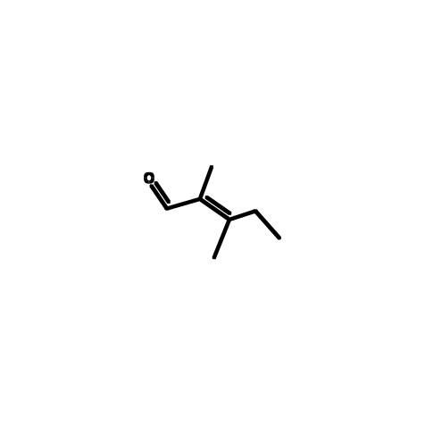 CC/C(C)=C(\C)C=O